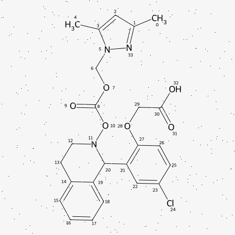 Cc1cc(C)n(COC(=O)ON2CCc3ccccc3C2c2cc(Cl)ccc2OCC(=O)O)n1